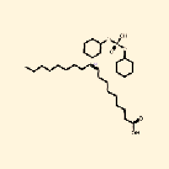 CCCCCCCC/C=C\CCCCCCCC(=O)O.O=P(O)(OC1CCCCC1)OC1CCCCC1